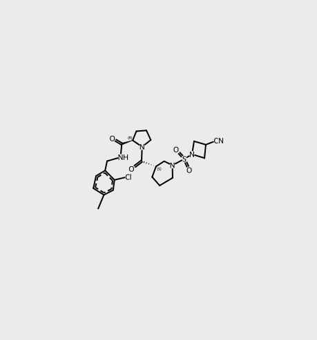 Cc1ccc(CNC(=O)[C@H]2CCCN2C(=O)[C@H]2CCCN(S(=O)(=O)N3CC(C#N)C3)C2)c(Cl)c1